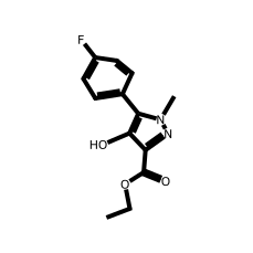 CCOC(=O)c1nn(C)c(-c2ccc(F)cc2)c1O